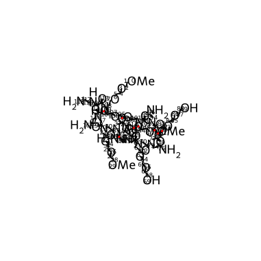 COCCOCCOCCN(CC(=O)N(CCN)CC(=O)N(CCOCCOCCOC)CC(=O)N(CCN)CC(=O)N(CCOCCOCCOC)CC(=O)N(CCN)CC(=O)N(CCOCCOCCO)CC(=O)N(CCN)CC(=O)N(CCOCCOCCO)CC(=O)N(CCN)CC(=O)N(CCOCCOCCO)CC(C)=O)C(=O)CNCCN